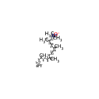 CC(C)CCCC(C)CCCC(C)CCCCC(C)CCCC(C)CC[N+](C)(C)[O-]